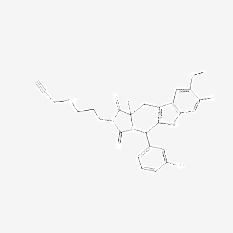 C#CCNCCCN1C(=O)N2C(c3cccc(O)c3)c3[nH]c4cc(F)c(OC)cc4c3CC2(C)C1=O